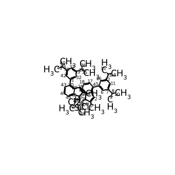 CC1=Cc2c(-c3cc(C(C)C)cc(C(C)C)c3)cccc2[CH]1[Zr]([Cl])([Cl])([CH]1C(C)=Cc2c(-c3cc(C(C)C)cc(C(C)C)c3)cccc21)[SiH](C)C